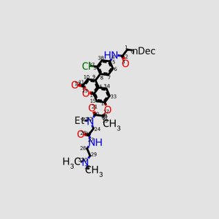 CCCCCCCCCCCC(=O)Nc1ccc(-c2cc(=O)oc3cc(O[C@H](C)C(=O)N(CC)CC(=O)NCCN(C)C)ccc23)c(Cl)c1